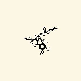 CCCCOC(=O)OCn1nc(C(=O)OCC)c(C(=O)c2cc(OC)c(OC)cc2N)n1